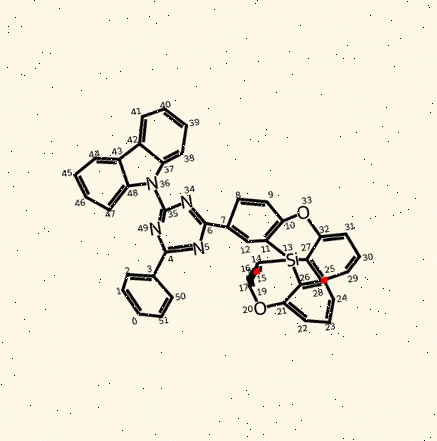 c1ccc(-c2nc(-c3ccc4c(c3)[Si]3(c5ccccc5Oc5ccccc53)c3ccccc3O4)nc(-n3c4ccccc4c4ccccc43)n2)cc1